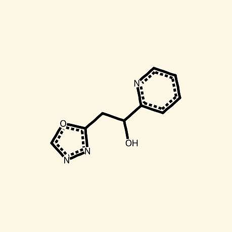 OC(Cc1nnco1)c1ccccn1